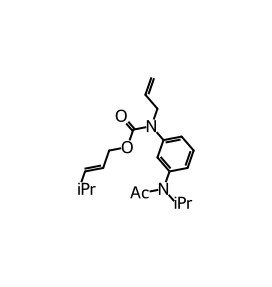 C=CCN(C(=O)OCC=CC(C)C)c1cccc(N(C(C)=O)C(C)C)c1